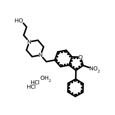 Cl.Cl.O.O=[N+]([O-])c1oc2ccc(CN3CCN(CCO)CC3)cc2c1-c1ccccc1